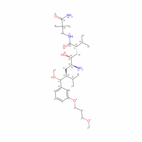 COCCCOc1cccc(C(OC)[C@@H](C[C@H](N)[C@@H](O)C[C@H](C(=O)NCC(C)(C)C(N)=O)C(C)C)C(C)C)c1